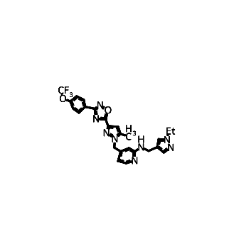 CCn1cc(CNc2cc(Cn3nc(-c4nc(-c5ccc(OC(F)(F)F)cc5)no4)cc3C)ccn2)cn1